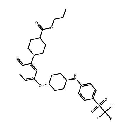 C=C/C(=C\C(=C/C)O[C@H]1CC[C@H](Nc2ccc(S(=O)(=O)C(F)(F)F)cc2)CC1)N1CCN(C(=O)OCCC)CC1